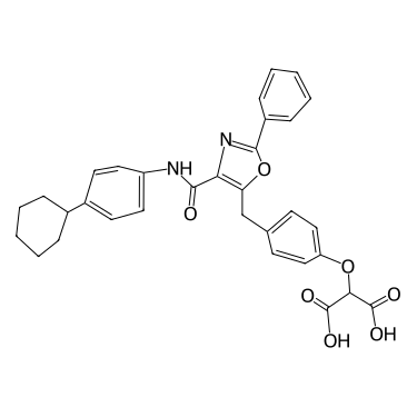 O=C(Nc1ccc(C2CCCCC2)cc1)c1nc(-c2ccccc2)oc1Cc1ccc(OC(C(=O)O)C(=O)O)cc1